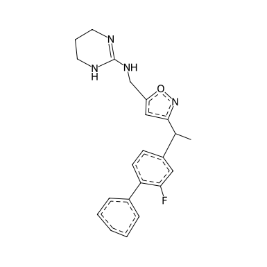 CC(c1ccc(-c2ccccc2)c(F)c1)c1cc(CNC2=NCCCN2)on1